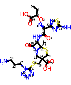 CCC(ON=C(C(=O)NC1C(=O)N2CC(CSc3nnnn3CCCN)(C(=O)O)CS[C@H]12)c1nsc(N)n1)C(=O)O